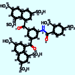 O=C(Nc1cc(C(=O)c2cc(S(=O)(=O)O)cc3cc(S(=O)(=O)O)cc(S(=O)(=O)O)c23)cc(C(=O)c2cc(S(=O)(=O)O)cc3cc(S(=O)(=O)O)cc(S(=O)(=O)O)c23)c1)c1ccc([N+](=O)[O-])cc1S(=O)(=O)O